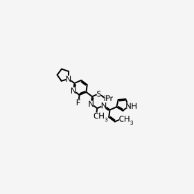 C/C=C\C(=N/C(C)/N=C(\SC(C)C)c1ccc(N2CCCC2)nc1F)c1cc[nH]c1